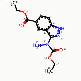 CCOC(=O)c1ccc2[nH]nc(N(N)C(=O)OCC)c2c1